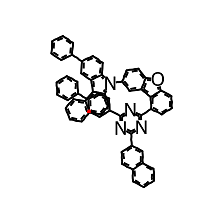 c1ccc(-c2ccc(-c3nc(-c4ccc5ccccc5c4)nc(-c4cccc5oc6ccc(-n7c8ccc(-c9ccccc9)cc8c8c9ccccc9ccc87)cc6c45)n3)cc2)cc1